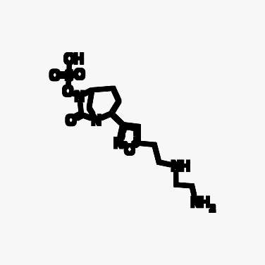 NCCNCCc1cc(C2CCC3CN2C(=O)N3OS(=O)(=O)O)no1